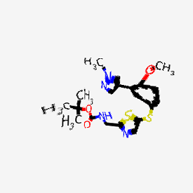 COc1ccc(Sc2cnc(CNC(=O)OC(C)(C)C)s2)cc1-c1cnn(C)c1